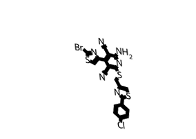 N#Cc1c(N)nc(SCc2csc(-c3ccc(Cl)cc3)n2)c(C#N)c1-c1csc(Br)n1